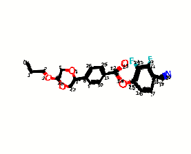 CCCOC1COC(c2ccc(C(=O)Oc3ccc(C#N)c(F)c3F)cc2)CO1